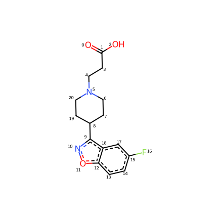 O=C(O)CCN1CCC(c2noc3ccc(F)cc23)CC1